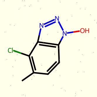 Cc1ccc2c(nnn2O)c1Cl